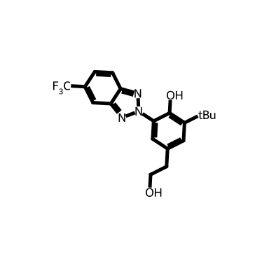 CC(C)(C)c1cc(CCO)cc(-n2nc3ccc(C(F)(F)F)cc3n2)c1O